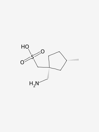 C[C@H]1CC[C@](CN)(CS(=O)(=O)O)C1